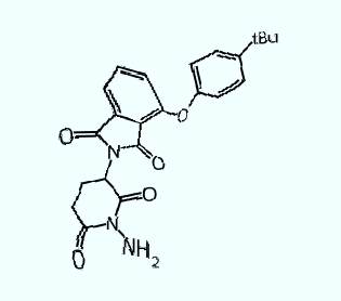 CC(C)(C)c1ccc(Oc2cccc3c2C(=O)N(C2CCC(=O)N(N)C2=O)C3=O)cc1